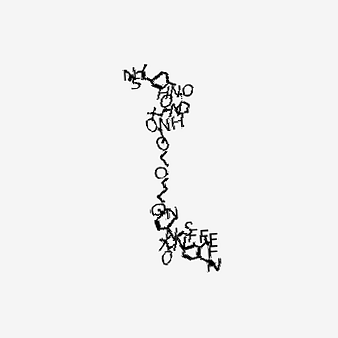 Cc1ncsc1-c1ccc(CNC(=O)[C@@H]2CCCN2C(=O)[C@@H](NC(=O)COCCCOCCCCCOc2ccc(N3C(=S)N(c4ccc(C#N)c(C(F)(F)F)c4F)C(=O)C3(C)C)cn2)C(C)(C)C)cc1